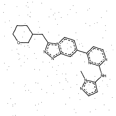 Cn1nccc1Nc1nccc(-c2ccn3c(CC4CCCOC4)nnc3c2)n1